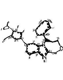 COc1ncc(-c2ccc3nc4n(c3c2)C(c2ccccc2)COC4)cc1C